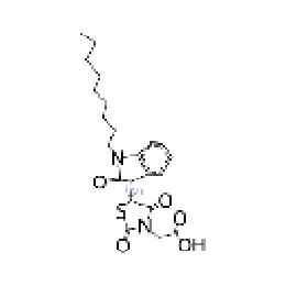 CCCCCCCCCN1C(=O)/C(=C2\SC(=O)N(CC(=O)O)C2=O)c2ccccc21